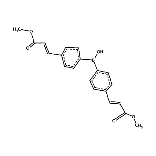 COC(=O)/C=C/c1ccc(B(O)c2ccc(/C=C/C(=O)OC)cc2)cc1